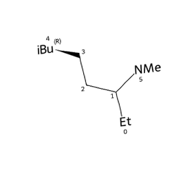 CCC(CC[C@H](C)CC)NC